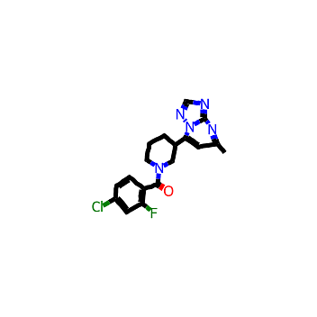 Cc1cc(C2CCCN(C(=O)c3ccc(Cl)cc3F)C2)n2ncnc2n1